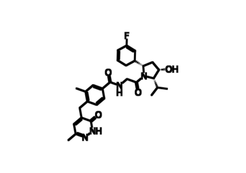 Cc1cc(Cc2ccc(C(=O)NCC(=O)N3[C@H](C4C=C(F)C=CC4)C[C@H](O)[C@@H]3C(C)C)cc2C)c(=O)[nH]n1